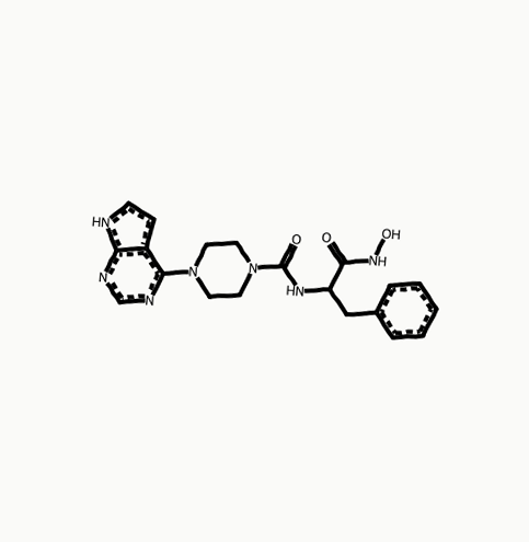 O=C(NO)C(Cc1ccccc1)NC(=O)N1CCN(c2ncnc3[nH]ccc23)CC1